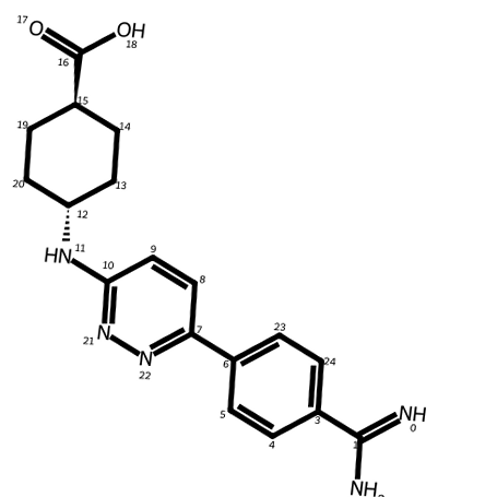 N=C(N)c1ccc(-c2ccc(N[C@H]3CC[C@H](C(=O)O)CC3)nn2)cc1